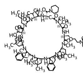 CCCCN1C(=O)[C@H]([C@@H](C)O)NC(=O)[C@H](CC(C)C)N(C)C(=O)[C@@H](Cc2ccccc2)N(C)C(=O)[C@H](CC(C)C)NC(=O)[C@H](Cc2ccccc2)N(C)C(=O)[C@H](CC(C)C)N(C)C(=O)[C@H](COCCN(C)C)NC(=O)[C@H](C)N(C)C(=O)C[C@@H](C(=O)N2CCCCC2)NC(=O)[C@H](C(C)C)N(C)C1=O